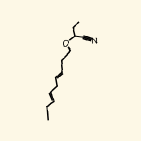 CCC=CCC=CCCOC(C#N)CC